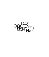 NN.O=C([O-])[O-].[Na+].[Na+]